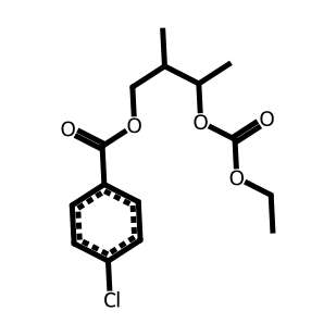 CCOC(=O)OC(C)C(C)COC(=O)c1ccc(Cl)cc1